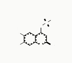 CS(=O)(=O)Oc1cc(=O)oc2cc(O)c(O)cc12